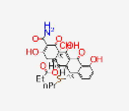 CCCSC[C@H]1c2cccc(O)c2C(=O)C2=C(O)[C@]3(O)C(=O)C(C(N)=O)=C(O)C[C@@H]3[C@@H](OC(=O)CC)[C@@H]21